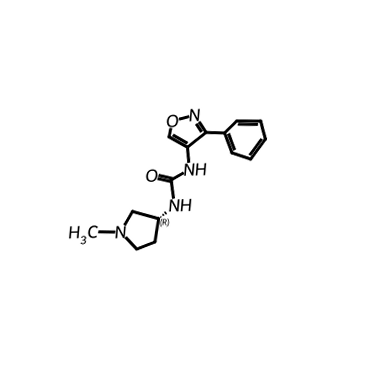 CN1CC[C@@H](NC(=O)Nc2conc2-c2ccccc2)C1